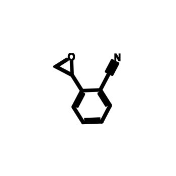 N#Cc1ccccc1C1CO1